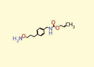 C=CCOC(=O)NCc1ccc(CCCON)cc1